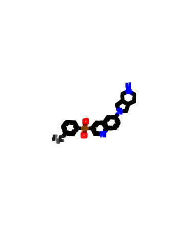 O=S(=O)(c1cccc(C(F)(F)F)c1)c1cnc2ccc(N3CC4CCNCC4C3)cc2c1